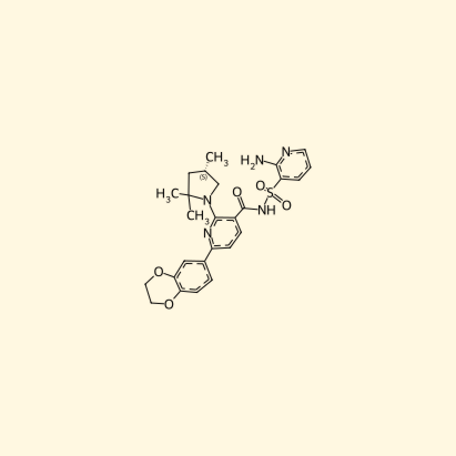 C[C@@H]1CN(c2nc(-c3ccc4c(c3)OCCO4)ccc2C(=O)NS(=O)(=O)c2cccnc2N)C(C)(C)C1